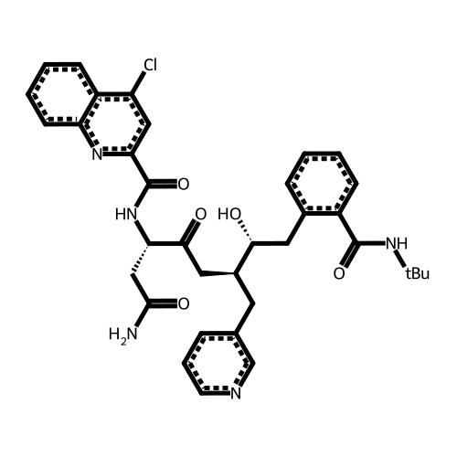 CC(C)(C)NC(=O)c1ccccc1C[C@@H](O)[C@H](CC(=O)[C@H](CC(N)=O)NC(=O)c1cc(Cl)c2ccccc2n1)Cc1cccnc1